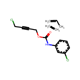 C=C.C=CC.O=C(Nc1cccc(Cl)c1)OCC#CCCl